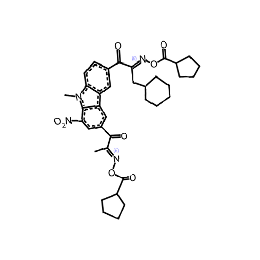 C/C(=N\OC(=O)C1CCCC1)C(=O)c1cc([N+](=O)[O-])c2c(c1)c1cc(C(=O)/C(CC3CCCCC3)=N/OC(=O)C3CCCC3)ccc1n2C